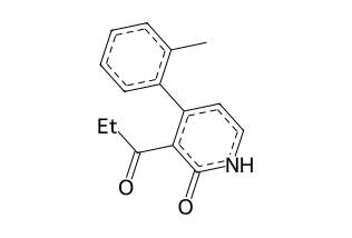 CCC(=O)c1c(-c2ccccc2C)cc[nH]c1=O